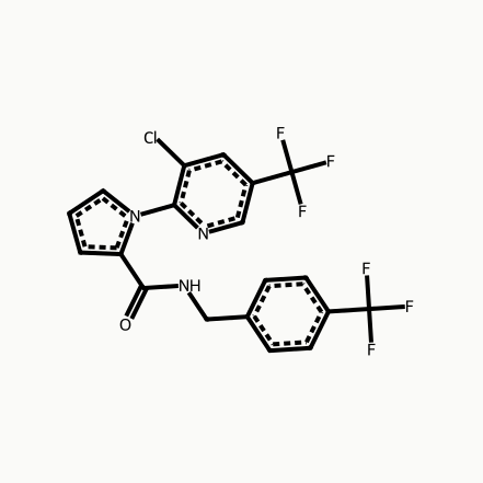 O=C(NCc1ccc(C(F)(F)F)cc1)c1cccn1-c1ncc(C(F)(F)F)cc1Cl